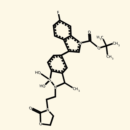 CC1c2cc(-c3cn(C(=O)OC(C)(C)C)c4cc(F)ccc34)ccc2S(O)(O)N1CCN1CCOC1=O